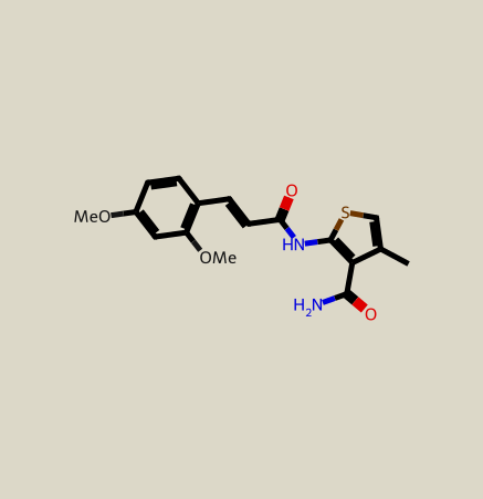 COc1ccc(C=CC(=O)Nc2scc(C)c2C(N)=O)c(OC)c1